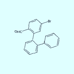 O=Cc1ccc(Br)cc1-c1ccccc1-c1ccccc1